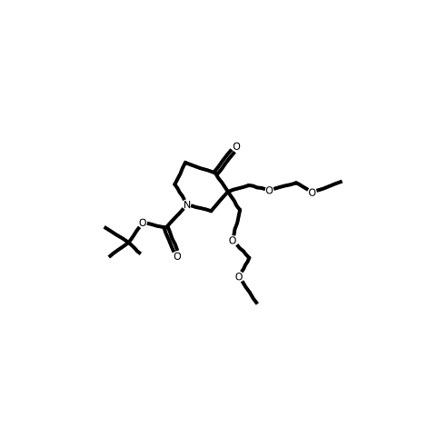 COCOCC1(COCOC)CN(C(=O)OC(C)(C)C)CCC1=O